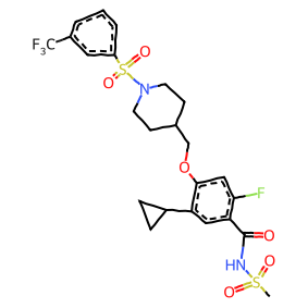 CS(=O)(=O)NC(=O)c1cc(C2CC2)c(OCC2CCN(S(=O)(=O)c3cccc(C(F)(F)F)c3)CC2)cc1F